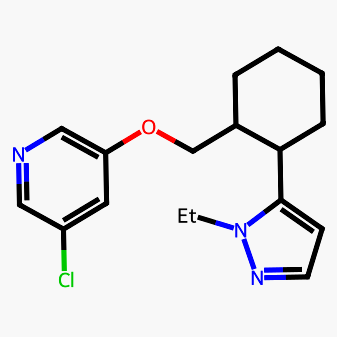 CCn1nccc1C1CCCCC1COc1cncc(Cl)c1